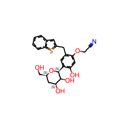 N#CCOc1cc(O)c([C@@H]2O[C@H](CO)C[C@H](O)C2O)cc1Cc1cc2ccccc2s1